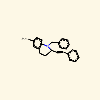 COc1ccc2c(c1)CCC(C#Cc1ccccc1)N2Cc1ccccc1